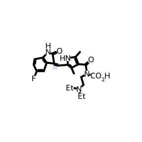 CCN(CC)CCN(C(=O)O)C(=O)c1c(C)[nH]c(/C=C2\C(=O)Nc3ccc(F)cc32)c1C